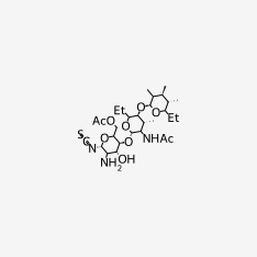 CCC1O[C@@H](O[C@@H]2C(CC)O[C@@H](O[C@@H]3C(COC(C)=O)O[C@@H](N=C=S)C(N)[C@H]3O)C(NC(C)=O)[C@H]2C)C(C)[C@@H](C)[C@@H]1C